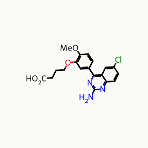 COc1ccc(-c2nc(N)nc3ccc(Cl)cc23)cc1OCCCC(=O)O